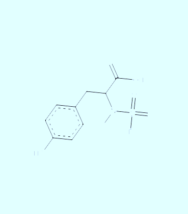 O=C(O)C(Cc1ccc(O)cc1)N(F)S(=O)(=O)F